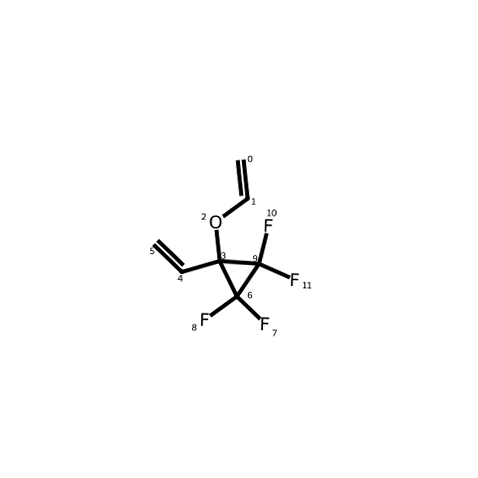 C=COC1(C=C)C(F)(F)C1(F)F